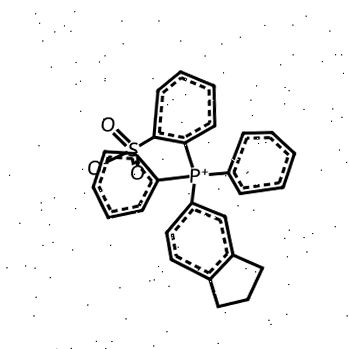 O=S(=O)([O-])c1ccccc1[P+](c1ccccc1)(c1ccccc1)c1ccc2c(c1)CCC2